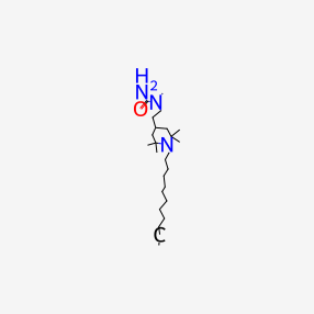 CCCCCCCCCCCCN1C(C)(C)CC(CCN(C)C(N)=O)CC1(C)C